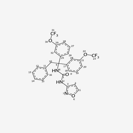 O=C(Nc1ccon1)NC(Cc1ccccc1)(c1cccc(OC(F)(F)F)c1)c1cccc(OC(F)(F)F)c1